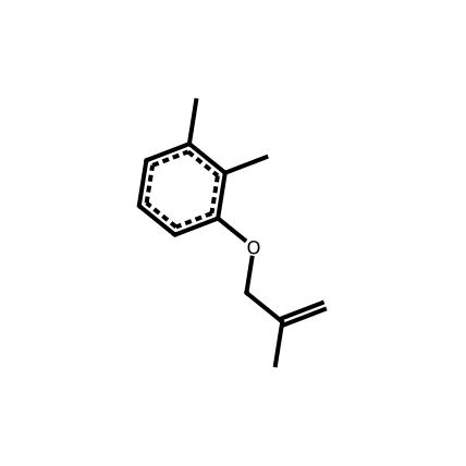 C=C(C)COc1cccc(C)c1C